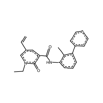 C=Cc1cc(C(=O)Nc2cccc(-c3ccccc3)c2C)c(=O)n(CC)c1